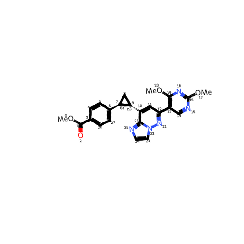 COC(=O)c1ccc([C@H]2C[C@@H]2c2cc(-c3cnc(OC)nc3OC)nn3ccnc23)cc1